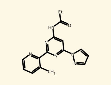 CCC(=O)Nc1cc(-n2cccn2)nc(-c2ncccc2C)n1